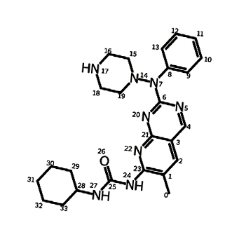 Cc1cc2cnc(N(c3ccccc3)N3CCNCC3)nc2nc1NC(=O)NC1CCCCC1